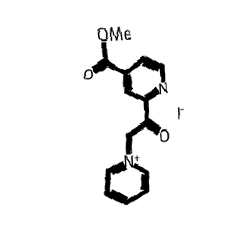 COC(=O)c1ccnc(C(=O)C[n+]2ccccc2)c1.[I-]